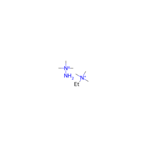 CC[N+](C)(C)C.C[N+](C)(C)N